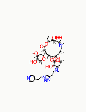 CC[C@H]1OC(=O)[C@H](C)[C@@H](C2C[C@@](C)(OC)[C@@H](O)[C@H](C)O2)[C@H](C)[C@@H](O[C@@H]2O[C@H](C)C[C@H](N(C)CCc3cn(CCc4ccncc4)nn3)[C@H]2O)[C@](C)(O)C[C@@H](C)CN(C)[C@H](C)[C@@H](O)[C@]1(C)O